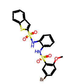 COc1ccc(Br)cc1S(=O)(=O)Nc1ccccc1NS(=O)(=O)c1cc2ccccc2s1